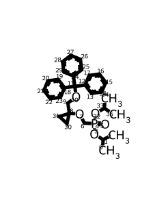 CC(C)OP(=O)(COC1(COC(c2ccccc2)(c2ccccc2)c2ccccc2)CC1)OC(C)C